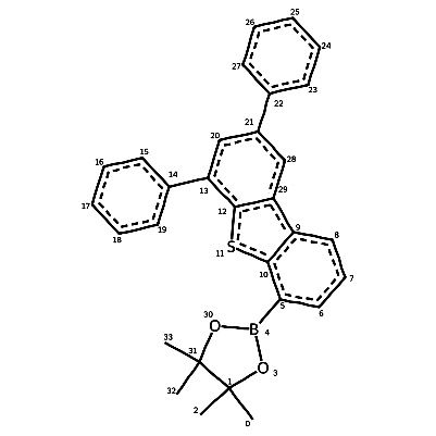 CC1(C)OB(c2cccc3c2sc2c(-c4ccccc4)cc(-c4ccccc4)cc23)OC1(C)C